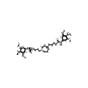 COc1cc(NC(=O)OCCCN2CCCN(CCCOC(=O)Nc3cc(OC)c(OC)c(OC)c3)CC2)cc(OC)c1OC